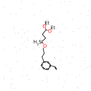 C=Cc1cccc(CCCO[SiH2]CCC(OCC)OCC)c1